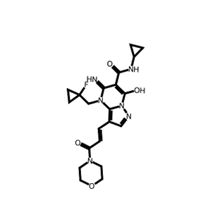 N=c1c(C(=O)NC2CC2)c(O)n2ncc(/C=C/C(=O)N3CCOCC3)c2n1CC1(F)CC1